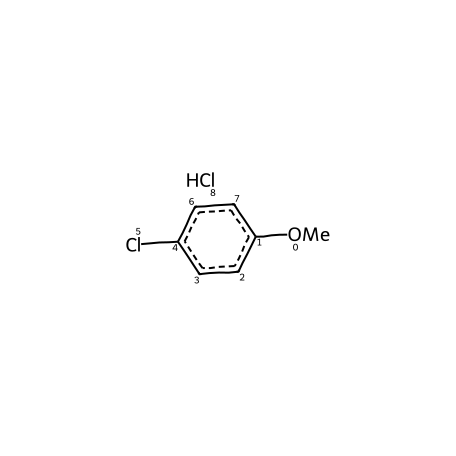 COc1ccc(Cl)cc1.Cl